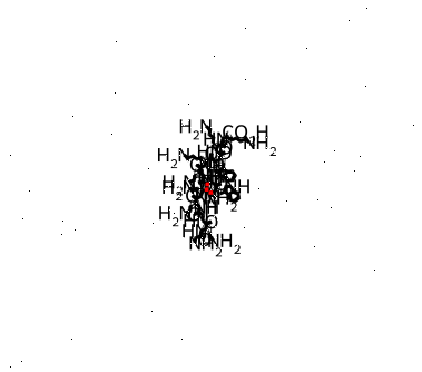 NCCCC[C@H](NC(=O)[C@H](CCCCN)NC(=O)[C@H](Cc1c[nH]c2ccccc12)NC(=O)[C@H](CCCCN)NC(=O)[C@H](CCN)NC(=O)[C@H](CCN)NC(=O)[C@H](Cc1c[nH]c2ccccc12)NC(=O)[C@H](CCN)NC(=O)[C@H](CCN)NC(=O)CNC(=O)[C@H](CCN)NC(=O)CN)C(=O)O